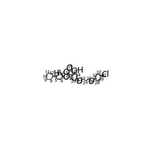 CC(Oc1ccc(C2CCCCC2)cc1)(C(=O)O)c1ccc(OCCCOc2ccc(Cl)cc2)cc1